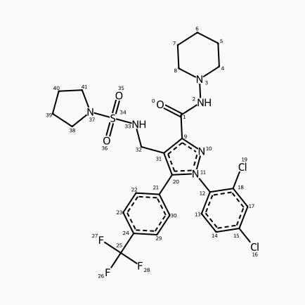 O=C(NN1CCCCC1)c1nn(-c2ccc(Cl)cc2Cl)c(-c2ccc(C(F)(F)F)cc2)c1CNS(=O)(=O)N1CCCC1